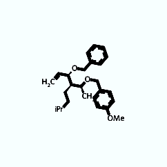 C=C[C@H](OCc1ccccc1)[C@H](CCC(C)C)[C@H](C)OCc1ccc(OC)cc1